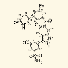 CC1c2nn(C)c(-c3cc(Cl)cc(S(N)(=O)=O)c3)c2CCN1C(=O)c1cc(F)cc(-c2ccc(=O)[nH]c2)c1Cl